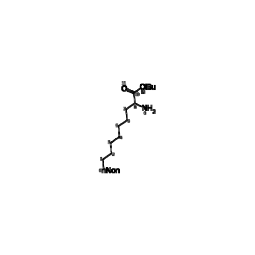 CCCCCCCCCCCCCCCCC(N)C(=O)OCC(C)C